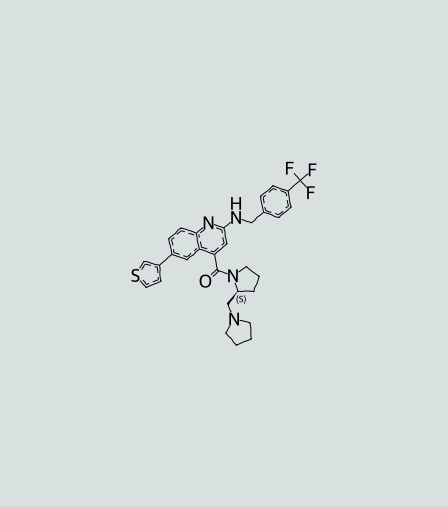 O=C(c1cc(NCc2ccc(C(F)(F)F)cc2)nc2ccc(-c3ccsc3)cc12)N1CCC[C@H]1CN1CCCC1